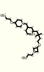 CC(C)(C)CCOC1CCN(CC2CCNC(CC(C)(C)CCOC3CN(CCC(C)(C)C)C3)C2)CC1